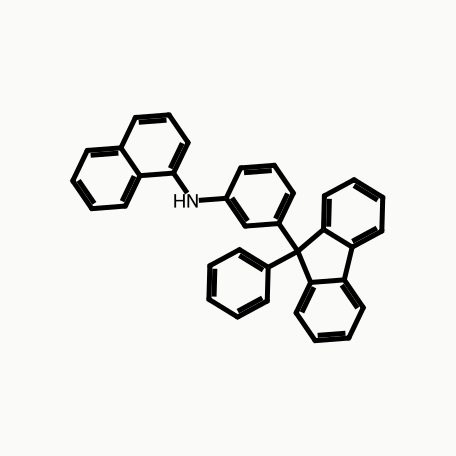 c1ccc(C2(c3cccc(Nc4cccc5ccccc45)c3)c3ccccc3-c3ccccc32)cc1